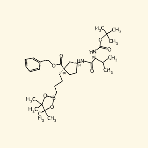 CC(C)[C@@H](NC(=O)OC(C)(C)C)C(=O)N[C@H]1CC[C@@](CCCCB2OC(C)(C)C(C)(C)O2)(C(=O)OCc2ccccc2)C1